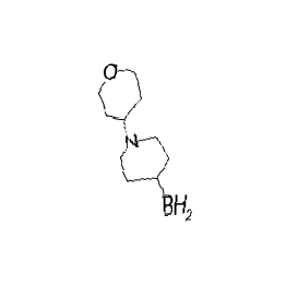 BC1CCN(C2CCOCC2)CC1